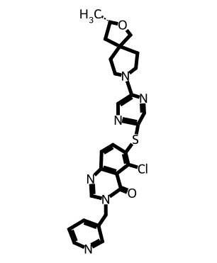 C[C@H]1CC2(CCN(c3cnc(Sc4ccc5ncn(Cc6cccnc6)c(=O)c5c4Cl)cn3)CC2)CO1